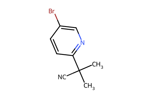 CC(C)(C#N)c1ccc(Br)cn1